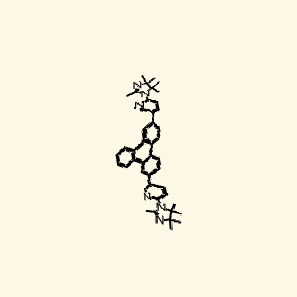 CC1=NC(C)(C)C(C)(C)N1c1ccc(-c2ccc3c4ccc(-c5ccc(N6C(C)=NC(C)(C)C6(C)C)nc5)cc4c4ccccc4c3c2)cn1